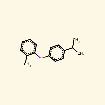 Cc1ccccc1[I+]c1ccc(C(C)C)cc1